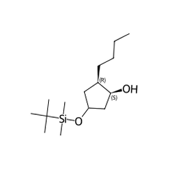 CCCC[C@@H]1CC(O[Si](C)(C)C(C)(C)C)C[C@@H]1O